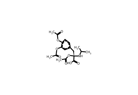 CC(=O)Oc1ccc(C[C@](NC(C)C)(OC(C)=O)C(=O)O)cc1OC(C)=O